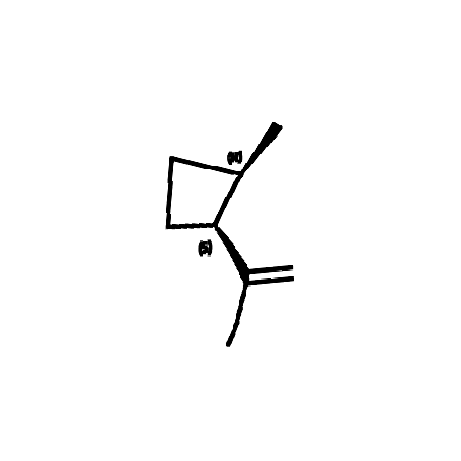 C=C(C)[C@H]1CC[C@H]1C